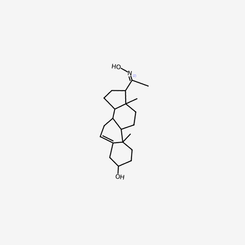 C/C(=N/O)C1CCC2C3CC=C4CC(O)CCC4(C)C3CCC12C